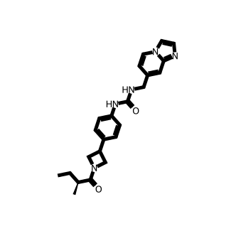 CC[C@H](C)C(=O)N1CC(c2ccc(NC(=O)NCc3ccn4ccnc4c3)cc2)C1